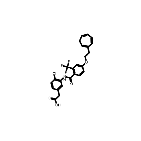 O=C(O)Cc1ccc(Cl)c(NC(=O)c2ccc(OCCC3=CCC=CC=C3)cc2C(F)(F)F)c1